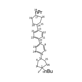 CCCCC1(C)CCC(c2ccc(-c3ccc(C4CCC(CCC)CC4)cc3)cc2)CC1